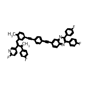 C=C(/C(=C\c1cc(C#Cc2ccc(C#Cc3ccc4nc(-c5ccc(F)cc5)c(-c5ccc(F)cc5)nc4c3)cc2)ccc1C)c1ccc(F)nc1)c1ccc(F)cc1